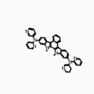 Cn1c2cc(N(C3=CN=CCC3)c3ccccn3)ccc2c2c3ccccc3c3c4ccc(N(c5cccnc5)c5ccccn5)cc4n(C)c3c21